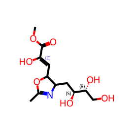 COC(=O)/C(O)=C/C1OC(C)=NC1C[C@H](O)[C@H](O)CO